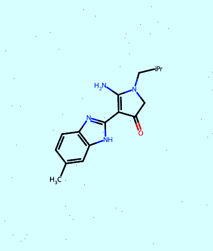 Cc1ccc2nc(C3=C(N)N(CC(C)C)CC3=O)[nH]c2c1